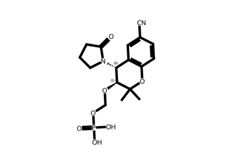 CC1(C)Oc2ccc(C#N)cc2[C@@H](N2CCCC2=O)[C@@H]1OCOP(=O)(O)O